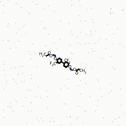 C=CC(=O)O/C=C\Oc1ccc(-c2ccc(O/C=C\OC(=O)C=C)c(C(F)(F)F)c2)c(C(F)(F)F)c1